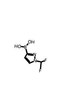 OB(O)c1ccn(C(F)F)n1